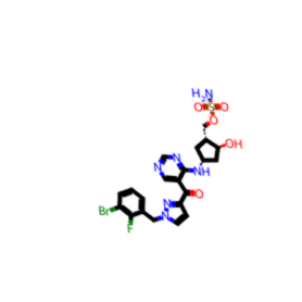 NS(=O)(=O)OC[C@H]1C[C@@H](Nc2ncncc2C(=O)c2ccn(Cc3cccc(Br)c3F)n2)C[C@@H]1O